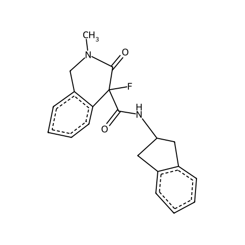 CN1Cc2ccccc2C(F)(C(=O)NC2Cc3ccccc3C2)C1=O